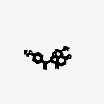 CC(C)[C@H]1CO[C@]23CC[C@H](Nc4ccc(C(F)(F)F)cc4)C[C@H]2CCC(=O)N13